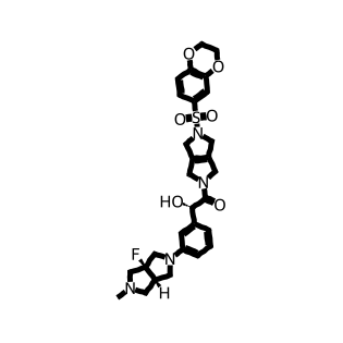 CN1C[C@H]2CN(c3cccc([C@H](O)C(=O)N4CC5=C(C4)CN(S(=O)(=O)c4ccc6c(c4)OCCO6)C5)c3)C[C@@]2(F)C1